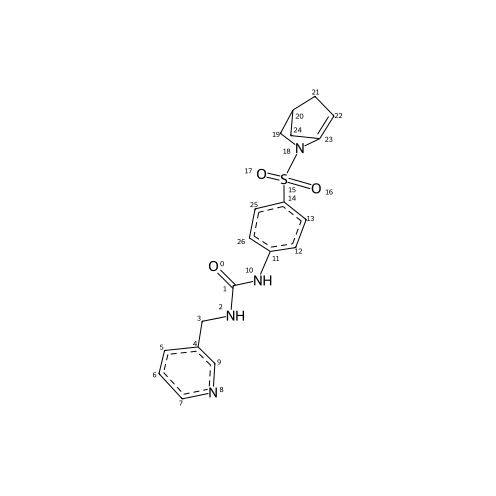 O=C(NCc1cccnc1)Nc1ccc(S(=O)(=O)N2CC3CC=C2C3)cc1